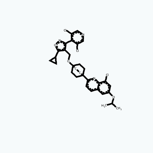 CC(C)Oc1cc(Cl)c2nc(C34CCC(OCc5c(-c6c(Cl)cncc6Cl)noc5C5CC5)(CC3)CC4)ccc2c1